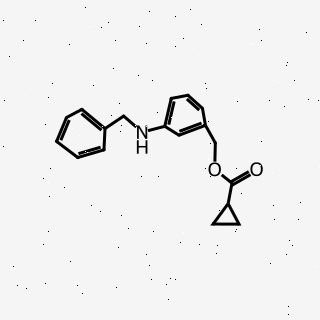 O=C(OCc1cccc(NCc2ccccc2)c1)C1CC1